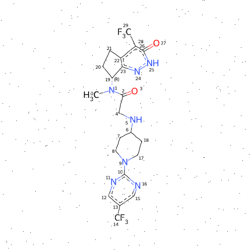 CN(C(=O)CNC1CCN(c2ncc(C(F)(F)F)cn2)CC1)[C@@H]1CCc2c1n[nH]c(=O)c2C(F)(F)F